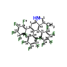 Cc1[c][nH]c2cc(-c3c(F)c(F)c(F)c(F)c3F)c(-c3c(F)c(F)c(F)c(F)c3F)c(-c3c(F)c(F)c(F)c(F)c3F)c12